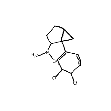 CN(C)C1CCC2CC21C1=CC(Cl)C(Cl)C=C1